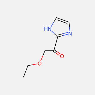 CCOCC(=O)c1ncc[nH]1